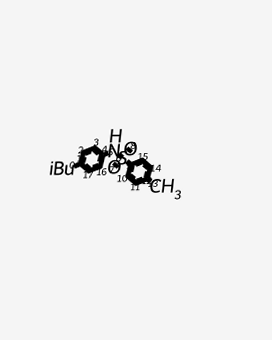 CCC(C)c1ccc(NS(=O)(=O)c2ccc(C)cc2)cc1